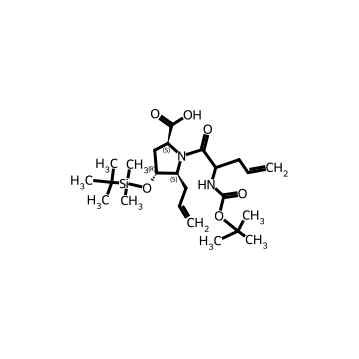 C=CCC(NC(=O)OC(C)(C)C)C(=O)N1[C@H](C(=O)O)C[C@@H](O[Si](C)(C)C(C)(C)C)[C@@H]1CC=C